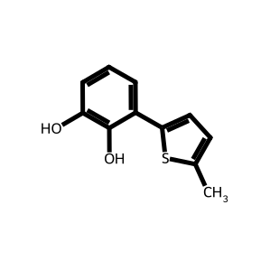 Cc1ccc(-c2cccc(O)c2O)s1